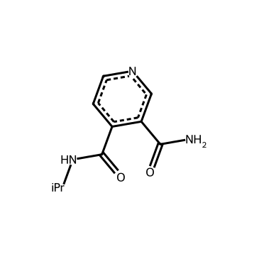 CC(C)NC(=O)c1ccncc1C(N)=O